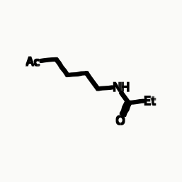 CCC(=O)NCCCCC(C)=O